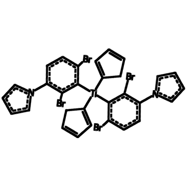 Brc1ccc(-n2cccc2)c(Br)[c]1[Ti]([C]1=CC=CC1)([C]1=CC=CC1)[c]1c(Br)ccc(-n2cccc2)c1Br